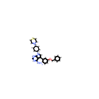 Nc1ncnc2c1c(-c1cccc(OCc3ccccc3)c1)cn2[C@H]1CC[C@H](N2CCSCC2)CC1